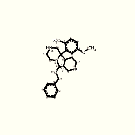 COc1ccc(C)c(C2(C3CCNCC3)CNCCN2C(=O)OCc2ccccc2)c1